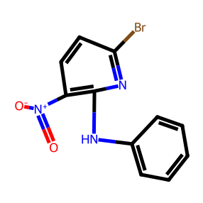 O=[N+]([O-])c1ccc(Br)nc1Nc1ccccc1